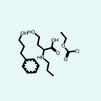 CCCNC(CCO)C(=O)O.CCOC(=O)Cl.OCCCc1ccccc1